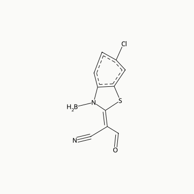 BN1/C(=C(\C#N)C=O)Sc2cc(Cl)ccc21